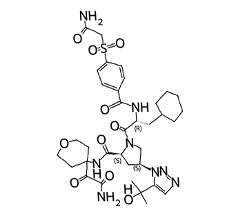 CC(C)(O)c1cnnn1[C@H]1C[C@@H](C(=O)NC2(C(=O)C(N)=O)CCOCC2)N(C(=O)[C@@H](CC2CCCCC2)NC(=O)c2ccc(S(=O)(=O)CC(N)=O)cc2)C1